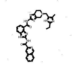 CCc1nc(C)c(CN2CCc3nc(NC(=O)c4cccc5[nH]c(NC(=O)c6cc7ccccc7cn6)nc45)sc3C2)[nH]1